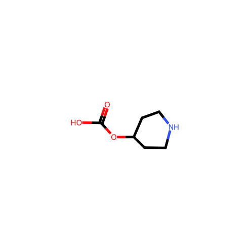 O=C(O)OC1CCNCC1